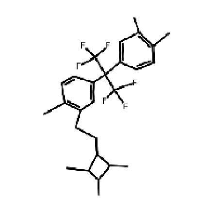 Cc1ccc(C(c2ccc(C)c(CCC3C(C)C(C)C3C)c2)(C(F)(F)F)C(F)(F)F)cc1C